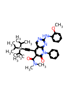 COc1ccccc1Nc1ncc2c(C#C[Si](C(C)C)(C(C)C)C(C)C)c(C(=O)N(C)C)c(=O)n(-c3ccccc3)c2n1